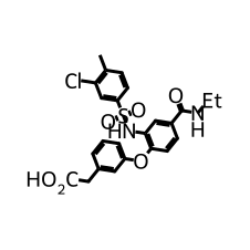 CCNC(=O)c1ccc(Oc2cccc(CC(=O)O)c2)c(NS(=O)(=O)c2ccc(C)c(Cl)c2)c1